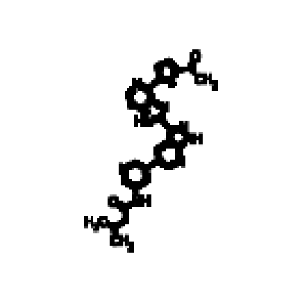 CC(=O)c1ccc(-c2nccc3[nH]c(-c4n[nH]c5ncc(-c6cncc(NC(=O)CC(C)C)c6)cc45)nc23)s1